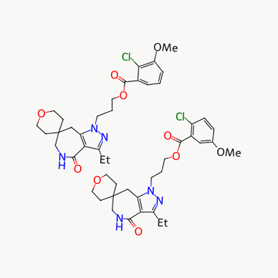 CCc1nn(CCCOC(=O)c2cc(OC)ccc2Cl)c2c1C(=O)NCC1(CCOCC1)C2.CCc1nn(CCCOC(=O)c2cccc(OC)c2Cl)c2c1C(=O)NCC1(CCOCC1)C2